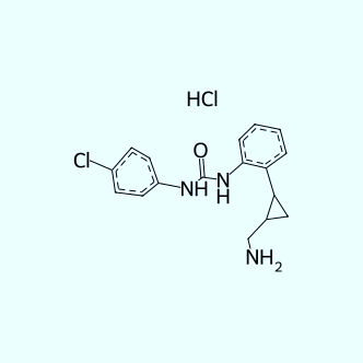 Cl.NCC1CC1c1ccccc1NC(=O)Nc1ccc(Cl)cc1